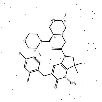 C[C@@H]1CN(CC(=O)N2CC(C)(C)c3c2cc(Cc2ccc(F)cc2F)c(=O)n3N)[C@@H](CN2CCOC[C@H]2C)CN1